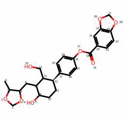 CC1OCOC1CC1C(O)CC[C@H](c2ccc(OC(=O)c3ccc4c(c3)OCO4)cc2)C1CO